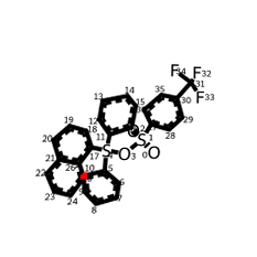 O=S(=O)(OS(c1ccccc1)(c1ccccc1)c1cccc2ccccc12)c1ccc(C(F)(F)F)cc1